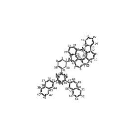 C1=CC(n2c3ccc4sc5ccc6c7ccccc7n7c8cccc2c8c3c4c5c67)CC(c2nc(-c3ccc4ccccc4c3)nc(-c3ccc4ccccc4c3)n2)=C1